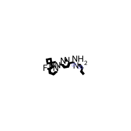 C=C/C=C\N=C(/N)c1ccc(NCC2(c3ncccc3F)CCC2)nn1